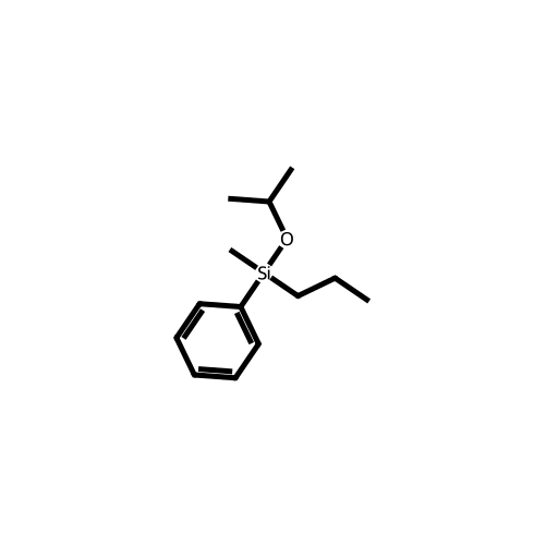 CCC[Si](C)(OC(C)C)c1ccccc1